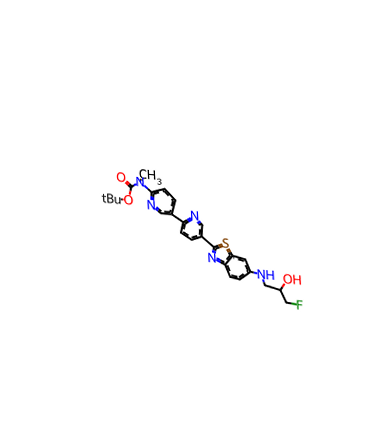 CN(C(=O)OC(C)(C)C)c1ccc(-c2ccc(-c3nc4ccc(NCC(O)CF)cc4s3)cn2)cn1